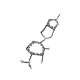 Cn1cc2c(n1)CN(c1ccc([N+](=O)[O-])c(F)c1F)C2